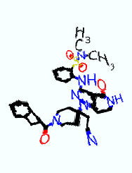 CN(C)S(=O)(=O)c1ccccc1Nc1nn(C2(CC#N)CCN(C(=O)C3Cc4ccccc4C3)CC2)c2cc[nH]c(=O)c12